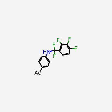 CC(=O)c1ccc(NC(F)(F)c2ccc(F)c(F)c2F)cc1